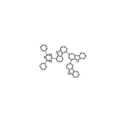 c1ccc(-c2nc(-c3ccccc3)nc(-c3cccc4c3sc3cccc(-c5cc(-c6ccc7oc8ccccc8c7c6)c6oc7ccccc7c6c5)c34)n2)cc1